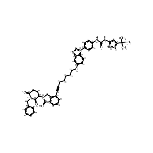 CC(C)(C)c1cc(NC(=O)Nc2ccc(-n3cnc4cc(OCCCCCC#Cc5cccc6c5CN(C5CCC(=O)N(Cc7ccccc7)C5=O)C6=O)ccc43)cc2)[nH]n1